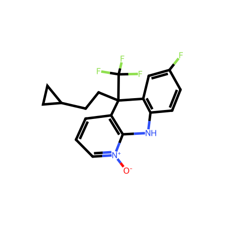 [O-][n+]1cccc2c1Nc1ccc(F)cc1C2(CCC1CC1)C(F)(F)F